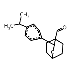 CC(C)c1ccc(C2CC3CCC2(C=O)CC3)cc1